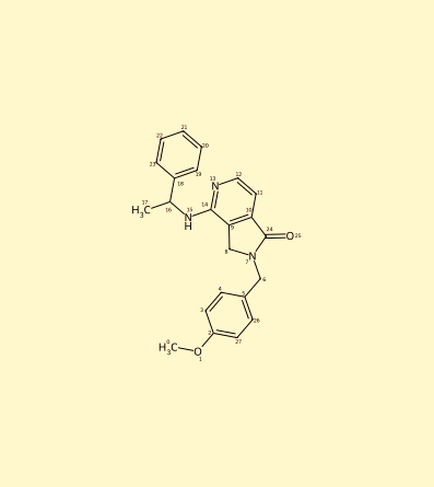 COc1ccc(CN2Cc3c(ccnc3NC(C)c3ccccc3)C2=O)cc1